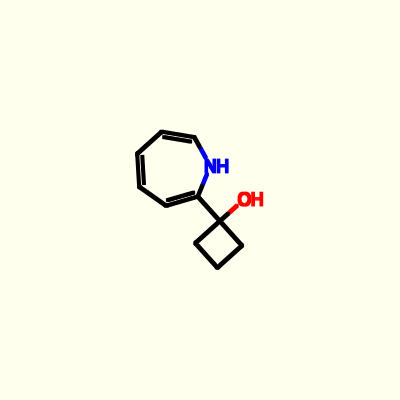 OC1(C2=CC=CC=CN2)CCC1